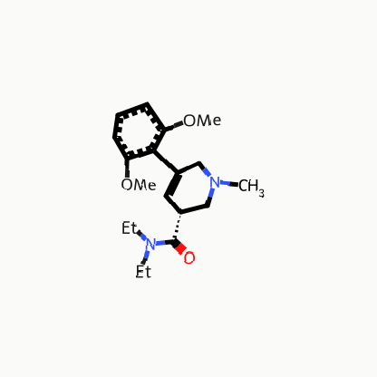 CCN(CC)C(=O)[C@@H]1C=C(c2c(OC)cccc2OC)CN(C)C1